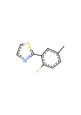 Cc1ccc(F)c(-c2nccs2)c1